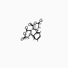 O=C1CN(c2ccccc2N2CC(=O)OC(=O)C2)CC(=O)O1